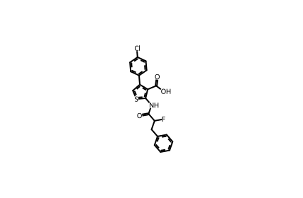 O=C(O)c1c(-c2ccc(Cl)cc2)csc1NC(=O)C(F)Cc1ccccc1